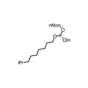 CCCCCCCCCOP(O)OCCCCCCCC(C)C